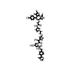 Cc1ncsc1-c1ccc(CNC(=O)[C@@H]2C[C@@H](O)CN2C(=O)C(c2cc(OCCN3CC[C@H](NC(=O)CC[C@@H]4N=C(c5ccc(Cl)cc5)c5c(sc(C)c5C)-n5c(C)nnc54)C3)no2)C(C)C)cc1